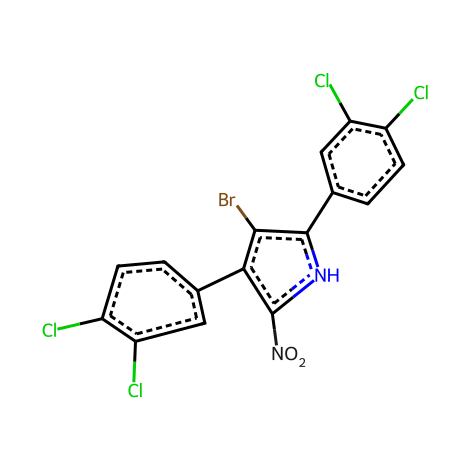 O=[N+]([O-])c1[nH]c(-c2ccc(Cl)c(Cl)c2)c(Br)c1-c1ccc(Cl)c(Cl)c1